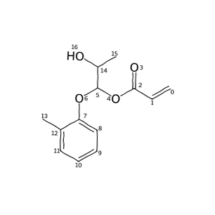 C=CC(=O)OC(Oc1ccccc1C)C(C)O